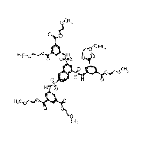 COCCOC(=O)c1cc(NS(=O)(=O)c2ccc3c(S(=O)(=O)Nc4cc(C(=O)OCCOC)cc(C(=O)OCCOC)c4)cc(S(=O)(=O)Nc4cc(C(=O)OCCOC)cc(C(=O)OCCOC)c4)cc3c2)cc(C(=O)OCCOC)c1